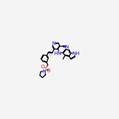 Cc1c(Nc2c(C#N)cncc2/C=C/c2cccc(CS(=O)(=O)N3CCCC3)c2)ccc2[nH]ccc12